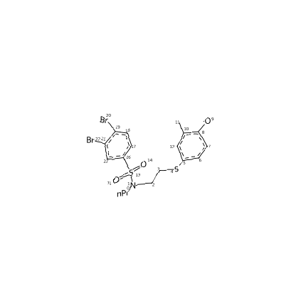 CCCN(CCSc1ccc([O])c(C)c1)S(=O)(=O)c1ccc(Br)c(Br)c1